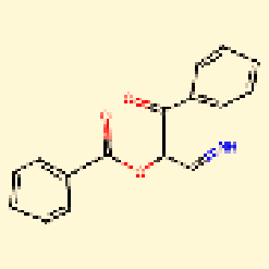 N=CC(OC(=O)c1ccccc1)C(=O)c1ccccc1